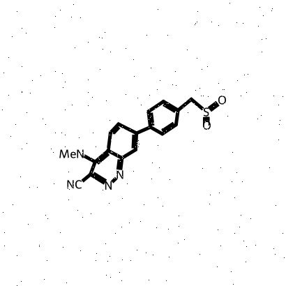 CNc1c(C#N)nnc2cc(-c3ccc(C[SH](=O)=O)cc3)ccc12